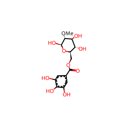 CO[C@@H]1[C@@H](O)[C@H](O)[C@@H](COC(=O)c2cc(O)c(O)c(O)c2)O[C@H]1O